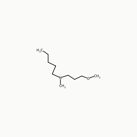 CCCCCN(C)CCCOC